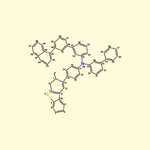 CC1Cc2sc3ccccc3c2C=C1c1ccc(N(c2cccc(-c3ccccc3)c2)c2cccc(-c3cccc(-c4cccc5ccccc45)c3)c2)cc1